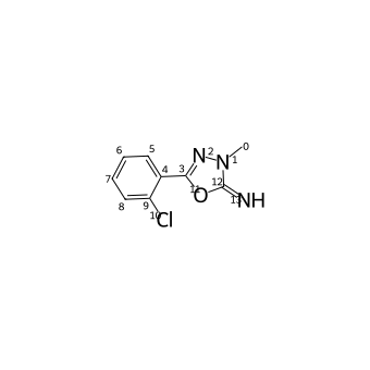 Cn1nc(-c2ccccc2Cl)oc1=N